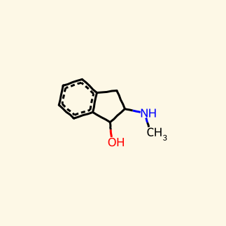 CNC1Cc2ccccc2C1O